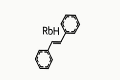 C(=C\c1ccccc1)/c1ccccc1.[RbH]